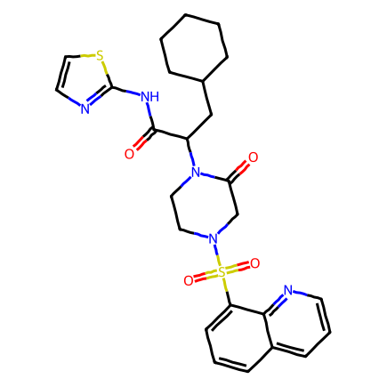 O=C(Nc1nccs1)C(CC1CCCCC1)N1CCN(S(=O)(=O)c2cccc3cccnc23)CC1=O